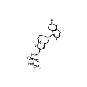 CNS(=O)(=O)NCc1cc2n(n1)CCCN(c1ncnc3c1CCNC3)C2